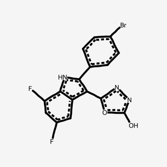 Oc1nnc(-c2c(-c3ccc(Br)cc3)[nH]c3c(F)cc(F)cc23)o1